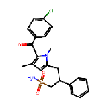 Cc1cc(CC(CS(N)(=O)=O)c2ccccc2)n(C)c1C(=O)c1ccc(Cl)cc1